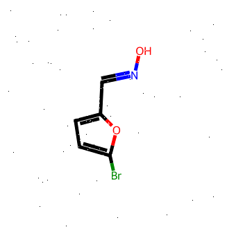 O/N=C/c1ccc(Br)o1